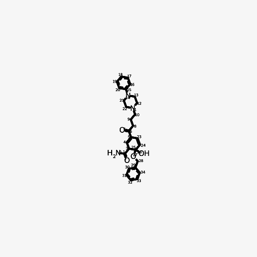 NC(=O)C1C=C(C(=O)CCCN2CCN(c3ccccc3)CC2)C=CC1(O)OCc1ccccc1